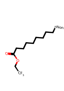 CCCCCCCCCCCCCCCCCC(=O)OCC(F)(F)F